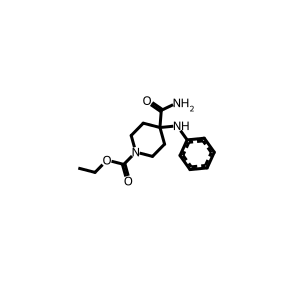 CCOC(=O)N1CCC(Nc2ccccc2)(C(N)=O)CC1